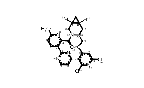 Cc1ccc(-c2ncccn2)c(C(=O)N2C[C@@H]3C[C@@H]3C[C@H]2COc2cc(Cl)nc(Cl)c2)n1